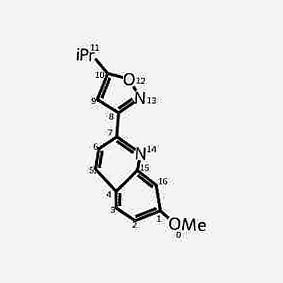 COc1ccc2[c]cc(-c3cc(C(C)C)on3)nc2c1